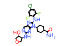 NC(=O)C1CCC(n2c(Nc3c(F)cc(Cl)cc3F)nc3cnc(NC4COC[C@H]4O)nc32)CC1